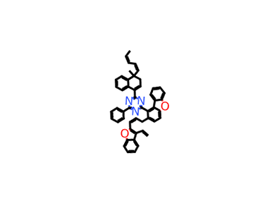 C=Cc1c(/C=C\Cc2ccc3oc4ccccc4c3c2-c2nc(C3=CCC(C)(/C=C\C=C/C)c4ccccc43)nc(-c3ccccc3)n2)oc2ccccc12